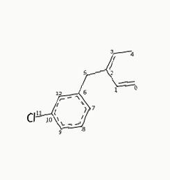 C=C/C(=C\C)Cc1cccc(Cl)c1